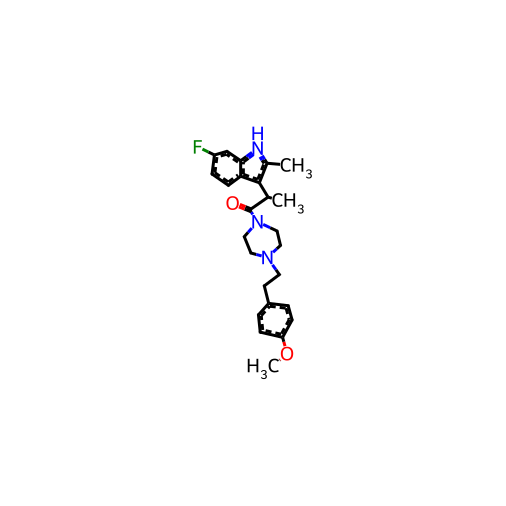 COc1ccc(CCN2CCN(C(=O)C(C)c3c(C)[nH]c4cc(F)ccc34)CC2)cc1